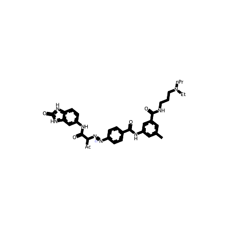 CCCN(CC)CCCNC(=O)c1cc(C)cc(NC(=O)c2ccc(/N=N/C(C(C)=O)C(=O)Nc3ccc4[nH]c(=O)[nH]c4c3)cc2)c1